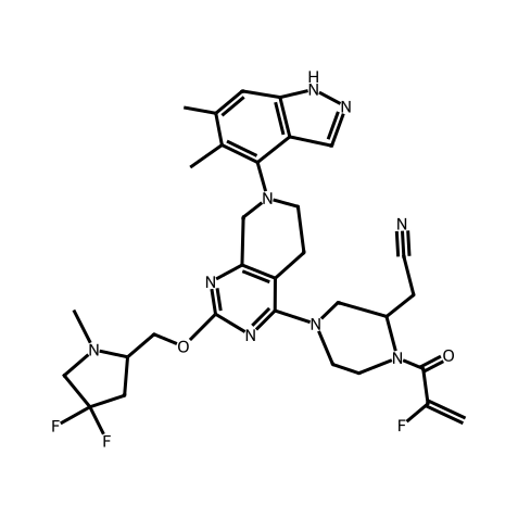 C=C(F)C(=O)N1CCN(c2nc(OCC3CC(F)(F)CN3C)nc3c2CCN(c2c(C)c(C)cc4[nH]ncc24)C3)CC1CC#N